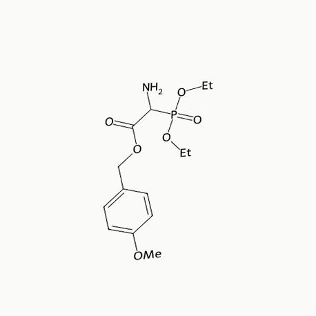 CCOP(=O)(OCC)C(N)C(=O)OCc1ccc(OC)cc1